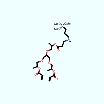 C=CC(=O)OC(C)COCC(COCC(C)OC(=O)C=C)OCC(C)OC(=O)CCN(C)CCC[Si](OC)(OC)OC